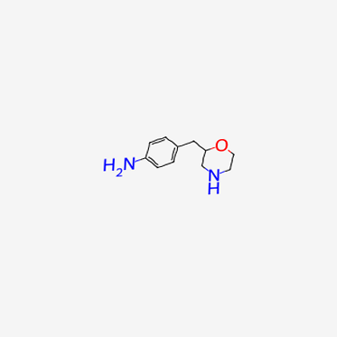 Nc1ccc(CC2CNCCO2)cc1